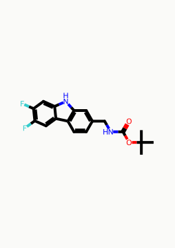 CC(C)(C)OC(=O)NCc1ccc2c(c1)[nH]c1cc(F)c(F)cc12